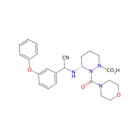 N#CC(N[C@@H]1CCCN(C(=O)O)N1C(=O)N1CCOCC1)c1cccc(Oc2ccccc2)c1